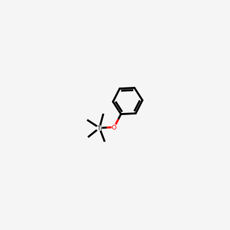 [CH3][Ti]([CH3])([CH3])([CH3])[O]c1ccccc1